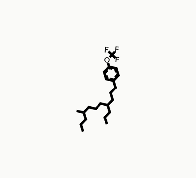 CCCC(C)CCCC(CCC)CCCc1ccc(OC(F)(F)F)cc1